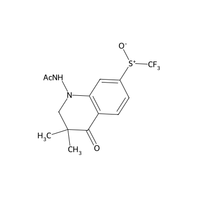 CC(=O)NN1CC(C)(C)C(=O)c2ccc([S+]([O-])C(F)(F)F)cc21